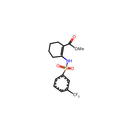 COC(=O)C1=C(NS(=O)(=O)c2cccc(C(F)(F)F)c2)CCCC1